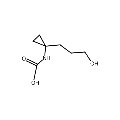 O=C(O)NC1(CCCO)CC1